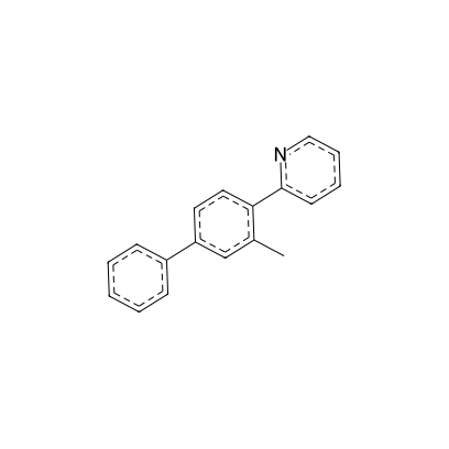 Cc1cc(-c2ccccc2)ccc1-c1ccccn1